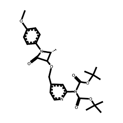 COc1ccc(N2C(=O)C(OCc3ccnc(N(C(=O)OC(C)(C)C)C(=O)OC(C)(C)C)c3)[C@H]2C)cc1